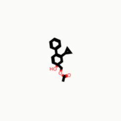 CC(=O)OCC1(O)C=CC(c2ccccc2)=C(C2CC2)C1